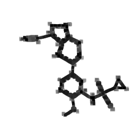 COc1ncc(-c2ccc3ncc(C#N)n3n2)cc1NS(=O)(=O)C1CC1